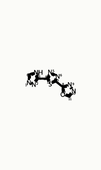 [c]1nnc(-c2nnc(-c3nnco3)s2)[nH]1